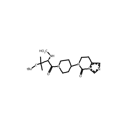 CC(C)(C)CC(C)(C)[C@@H](NC(=O)O)C(=O)N1CCC(N2CCc3cncn3C2=O)CC1